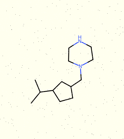 CC(C)C1CCC(CN2CCNCC2)C1